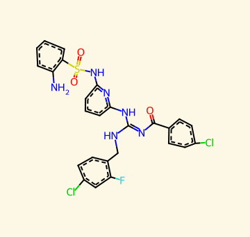 Nc1ccccc1S(=O)(=O)Nc1cccc(N/C(=N\C(=O)c2ccc(Cl)cc2)NCc2ccc(Cl)cc2F)n1